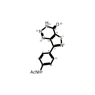 CC(=O)Nc1ccc(-c2nsc3c(=O)[nH]nnc23)cc1